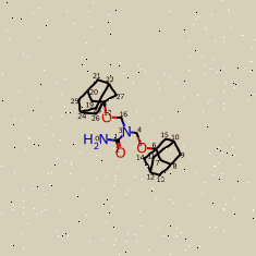 NC(=O)N(COC12CC3CC(CC(C3)C1)C2)COC12CC3CC(CC(C3)C1)C2